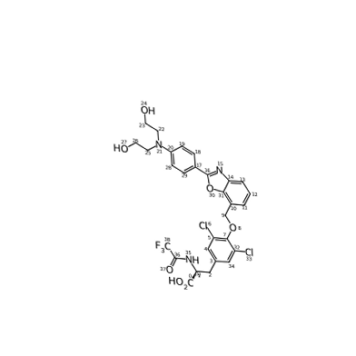 O=C(O)[C@H](Cc1cc(Cl)c(OCc2cccc3nc(-c4ccc(N(CCO)CCO)cc4)oc23)c(Cl)c1)NC(=O)C(F)(F)F